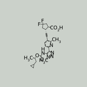 Cc1nc(-c2nnn(C)c2NC(=O)O[C@H](C)CC2CC2)ccc1C#C[C@@H]1CC(F)(F)C[C@H]1C(=O)O